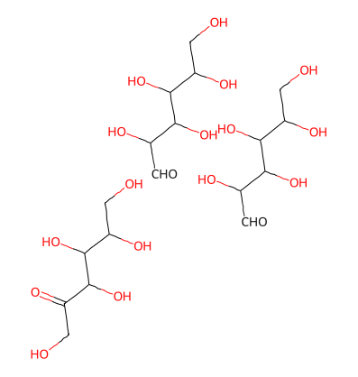 O=C(CO)C(O)C(O)C(O)CO.O=CC(O)C(O)C(O)C(O)CO.O=CC(O)C(O)C(O)C(O)CO